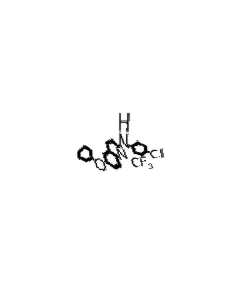 FC(F)(F)c1cc(Nc2ccc3cc(Oc4ccccc4)ccc3n2)ccc1Cl